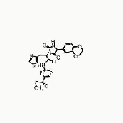 COC(=O)c1csc(NC(=O)C(Cc2cscn2)N2C(=O)NC(c3ccc4c(c3)OCCO4)C2=O)n1